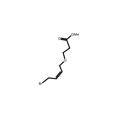 COC(=O)CCOC/C=C\CBr